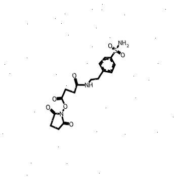 NS(=O)(=O)c1ccc(CCNC(=O)CCC(=O)ON2C(=O)CCC2=O)cc1